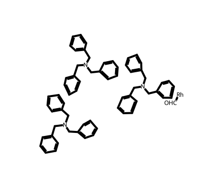 O=[CH][Rh].c1ccc(CN(Cc2ccccc2)Cc2ccccc2)cc1.c1ccc(CN(Cc2ccccc2)Cc2ccccc2)cc1.c1ccc(CN(Cc2ccccc2)Cc2ccccc2)cc1